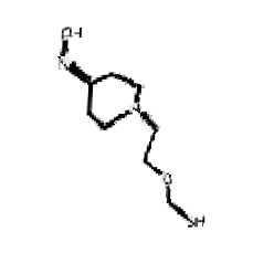 ON=C1CCN(CCOCS)CC1